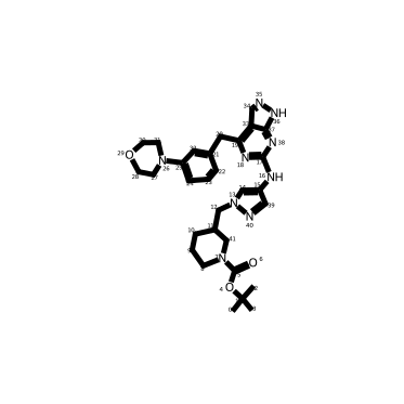 CC(C)(C)OC(=O)N1CCCC(Cn2cc(Nc3nc(Cc4cccc(N5CCOCC5)c4)c4cn[nH]c4n3)cn2)C1